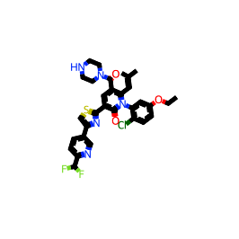 CCOc1ccc(Cl)c(-n2c(C=C(C)C)c(C(=O)N3CCNCC3)cc(-c3nc(-c4ccc(C(F)F)nc4)cs3)c2=O)c1